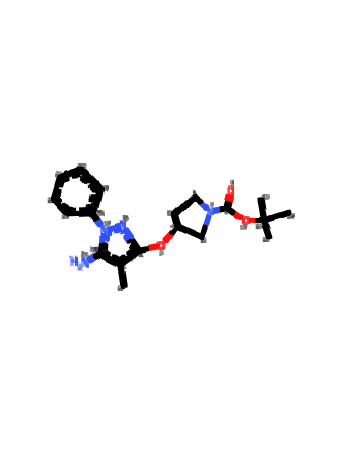 Cc1c(O[C@H]2CCN(C(=O)OC(C)(C)C)C2)nn(-c2ccccc2)c1N